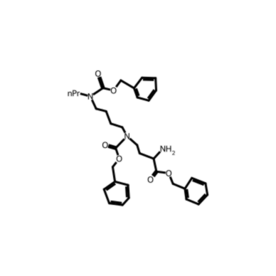 [CH2]CCN(CCCCN(CCC(N)C(=O)OCc1ccccc1)C(=O)OCc1ccccc1)C(=O)OCc1ccccc1